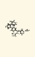 CCCc1ccc(CC(Nc2ccc(-c3nccnc3-c3ccccc3F)cc2)=C2CCC2)cc1